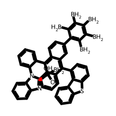 Bc1c(B)c(B)c(-c2ccc3c(-c4ccccc4-n4c(C(B)(O)O)nc5ccccc54)c4ccccc4c(-c4cccc5sc6ccccc6c45)c3c2)c(B)c1B